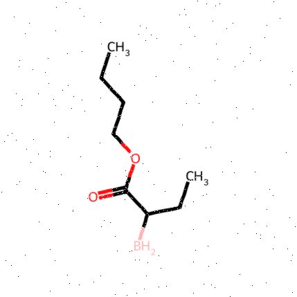 BC(CC)C(=O)OCCCC